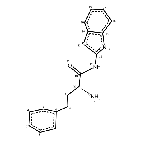 N[C@H](CCc1ccccc1)C(=O)Nc1nc2ccccc2s1